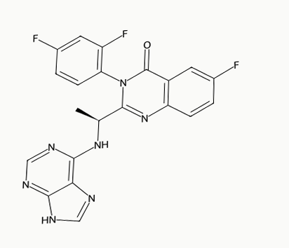 C[C@H](Nc1ncnc2[nH]cnc12)c1nc2ccc(F)cc2c(=O)n1-c1ccc(F)cc1F